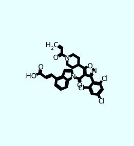 C=CC(=O)N1CCC(c2onc(-c3c(Cl)cc(Cl)cc3Cl)c2C(=O)n2ccc3c(/C=C/C(=O)O)cccc32)CC1